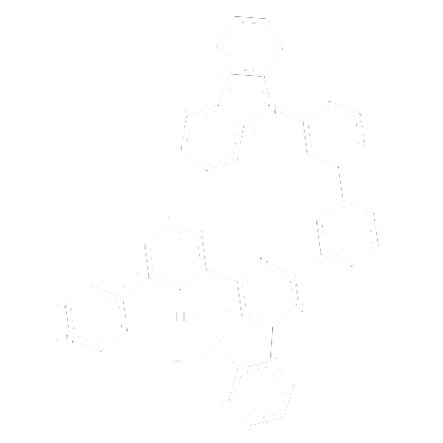 CC1(C)c2ccccc2-c2nc(-c3cccc(-c4cccc(-n5c6ccccc6c6ccccc65)c4)c3)nc(-c3cccc(-c4ccncc4)c3)c21